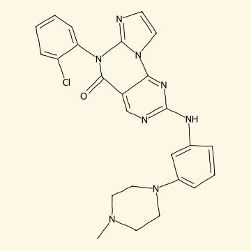 CN1CCN(c2cccc(Nc3ncc4c(=O)n(-c5ccccc5Cl)c5nccn5c4n3)c2)CC1